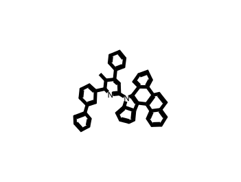 CC1C(c2ccccc2)=CC(n2c3ccccc3c3c4c5ccccc5ccc4c4ccccc4c32)=NC1c1cccc(-c2ccccc2)c1